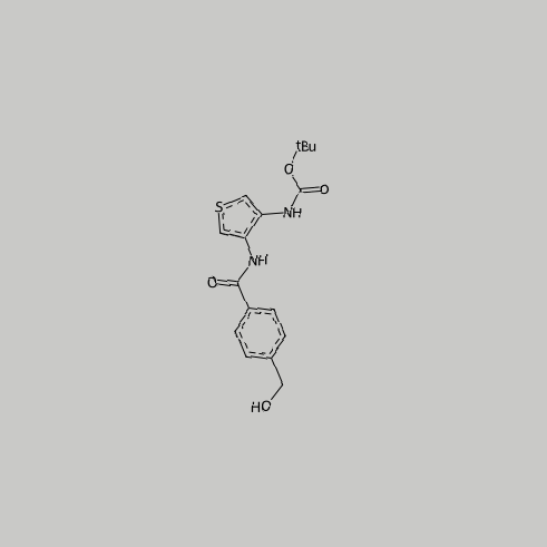 CC(C)(C)OC(=O)Nc1cscc1NC(=O)c1ccc(CO)cc1